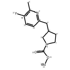 Cc1nc(CC2CCN(C(=O)OC(C)(C)C)C2)ccc1F